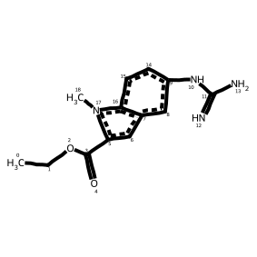 CCOC(=O)c1cc2cc(NC(=N)N)ccc2n1C